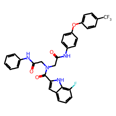 O=C(CN(CC(=O)Nc1ccc(Oc2ccc(C(F)(F)F)cc2)cc1)C(=O)c1cc2cccc(F)c2[nH]1)Nc1ccccc1